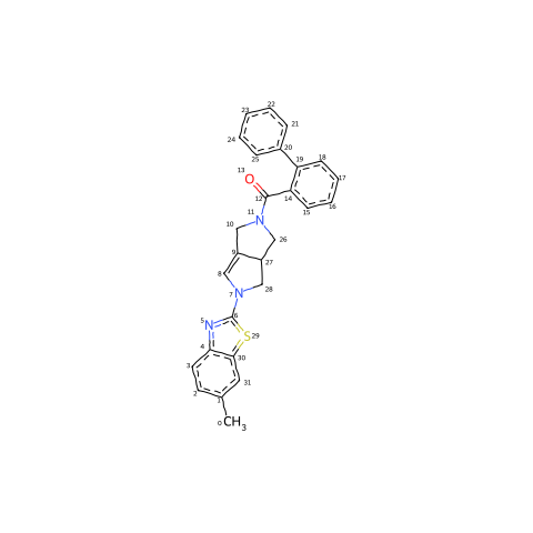 Cc1ccc2nc(N3C=C4CN(C(=O)c5ccccc5-c5ccccc5)CC4C3)sc2c1